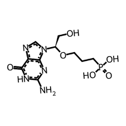 Nc1nc2c(ncn2[C@@H](CO)OCCCP(=O)(O)O)c(=O)[nH]1